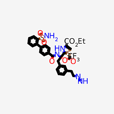 CCOC(=O)c1csc(C(Cc2cccc(CCN=N)c2)(NC(=O)c2ccc(-c3ccccc3S(N)(=O)=O)cc2)OC(=O)C(F)(F)F)n1